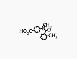 Cc1ccccc1C(=O)N(C)c1ccc(C(=O)O)cc1